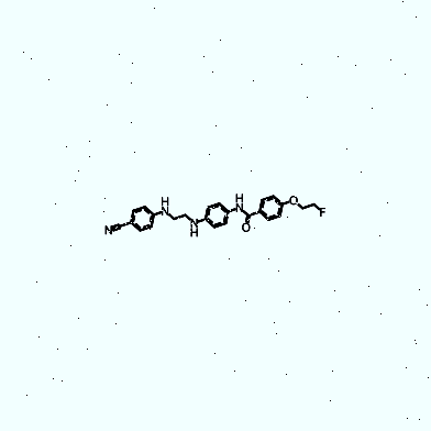 N#Cc1ccc(NCCNc2ccc(NC(=O)c3ccc(OCCF)cc3)cc2)cc1